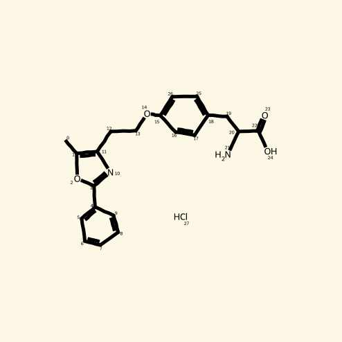 Cc1oc(-c2ccccc2)nc1CCOc1ccc(CC(N)C(=O)O)cc1.Cl